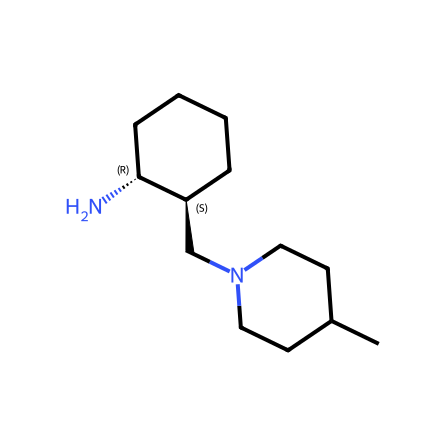 CC1CCN(C[C@@H]2CCCC[C@H]2N)CC1